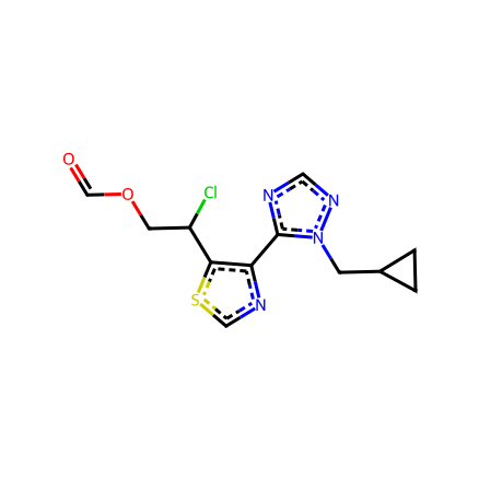 O=COCC(Cl)c1scnc1-c1ncnn1CC1CC1